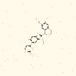 CCn1c(C2NCCc3cc(OC)c(CO)cc32)nc2cc(F)c(-c3ccnc(N)n3)cc21